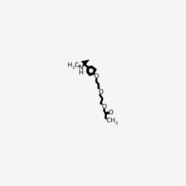 CCC(=O)COCCCOCCCOc1ccc(C2(NC)CC2)cc1